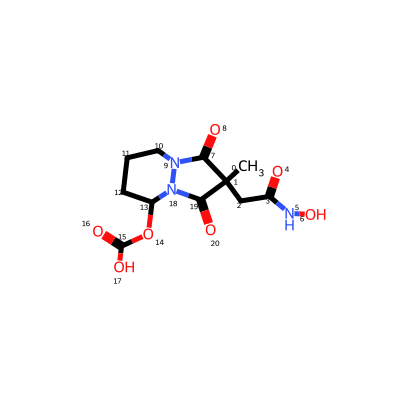 CC1(CC(=O)NO)C(=O)N2CCCC(OC(=O)O)N2C1=O